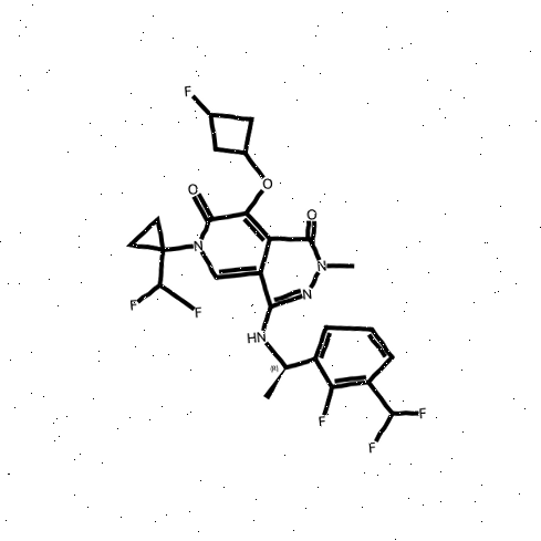 C[C@@H](Nc1nn(C)c(=O)c2c(OC3CC(F)C3)c(=O)n(C3(C(F)F)CC3)cc12)c1cccc(C(F)F)c1F